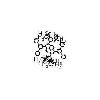 C[Si](C)(C)c1cc(-c2cc(-c3cc(-c4ccccc4)cc(-c4ccccc4)c3)c3ccc4c(-c5cc([Si](C)(C)C)cc([Si](C)(C)C)c5)cc(-c5cc(-c6ccccc6)cc(-c6ccccc6)c5)c5ccc2c3c54)cc([Si](C)(C)C)c1